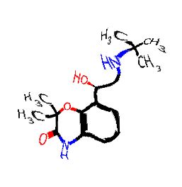 CC(C)(C)NC[C@H](O)c1cccc2c1OC(C)(C)C(=O)N2